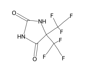 O=C1NC(=O)C(C(F)(F)F)(C(F)(F)F)N1